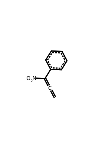 C=C=C(c1ccccc1)[N+](=O)[O-]